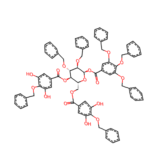 O=C(OC[C@H]1O[C@H](OC(=O)c2cc(OCc3ccccc3)c(OCc3ccccc3)c(OCc3ccccc3)c2)[C@H](OCc2ccccc2)[C@@H](OCc2ccccc2)[C@@H]1OC(=O)c1cc(O)c(OCc2ccccc2)c(O)c1)c1cc(O)c(OCc2ccccc2)c(O)c1